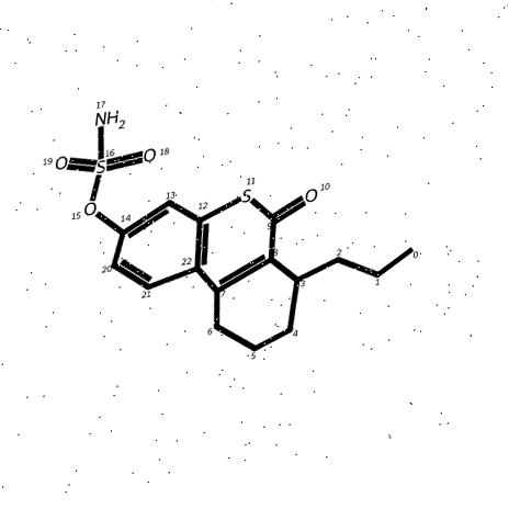 CCCC1CCCc2c1c(=O)sc1cc(OS(N)(=O)=O)ccc21